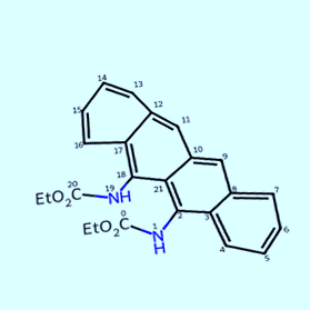 CCOC(=O)Nc1c2ccccc2cc2cc3ccccc3c(NC(=O)OCC)c12